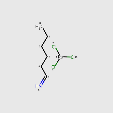 CCCCCC=N.[Cl][Ru]([Cl])[Cl]